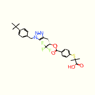 CC(C)(Sc1ccc(C(=O)O[C@@H](Cc2cn(Cc3ccc(C(C)(C)C)cc3)nn2)C(F)(F)F)cc1)C(=O)O